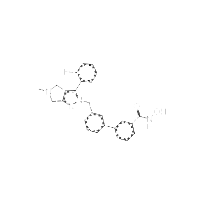 CN1Cc2nn(Cc3cccc(-c4cccc(C(=O)NO)c4)c3)c(-c3ccccc3F)c2C1